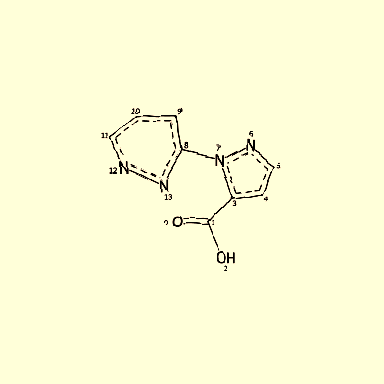 O=C(O)c1ccnn1-c1cccnn1